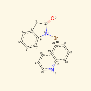 O=C1Cc2ccccc2N1Br.c1ccc2ncccc2c1